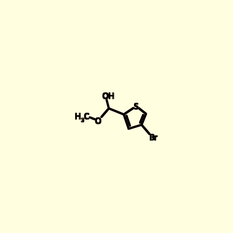 COC(O)c1cc(Br)cs1